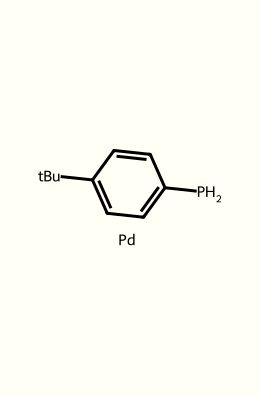 CC(C)(C)c1ccc(P)cc1.[Pd]